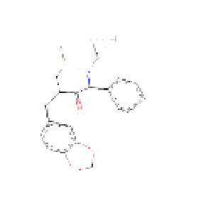 CC(=O)SCC(Cc1ccc2c(c1)OCO2)C(=O)C(NCC(=O)O)c1ccccc1